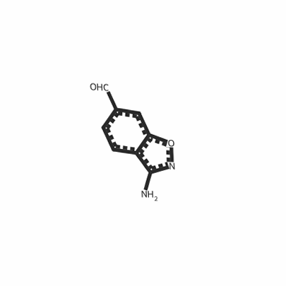 Nc1noc2cc(C=O)ccc12